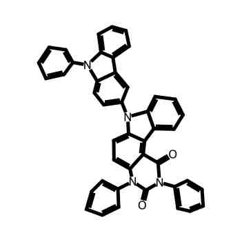 O=c1c2c3c4ccccc4n(-c4ccc5c(c4)c4ccccc4n5-c4ccccc4)c3ccc2n(-c2ccccc2)c(=O)n1-c1ccccc1